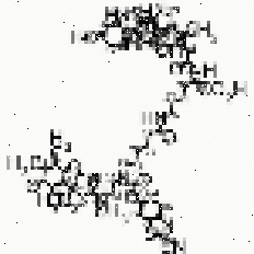 CC1=C(C)C(=O)C(C(C)(C)CC(=O)N(C)CCN(CCCCCC(=O)NCCCCC(NC(=O)CC[C@@H](C)[C@H]2CC[C@H]3[C@@H]4CC[C@@H]5C[C@H](O)CC[C@]5(C)[C@H]4C[C@H](O)[C@]23C)C(=O)O)C(=O)Oc2ccc3nc(C#N)sc3c2)=C(C)C1=O